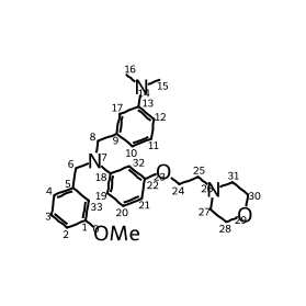 COc1cccc(CN(Cc2cccc(N(C)C)c2)c2cccc(OCCN3CCOCC3)c2)c1